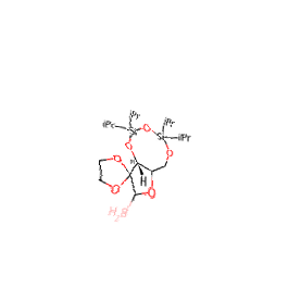 BC1OC2CO[Si](C(C)C)(C(C)C)O[Si](C(C)C)(C(C)C)O[C@H]2C12OCCO2